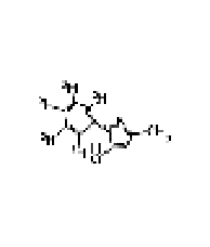 [2H]c1c([2H])c([2H])c(-n2nc(C)cc2O)c([2H])c1[2H]